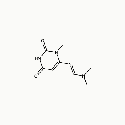 CN(C)C=Nc1cc(=O)[nH]c(=O)n1C